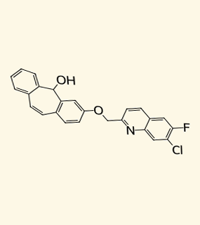 OC1c2ccccc2C=Cc2ccc(OCc3ccc4cc(F)c(Cl)cc4n3)cc21